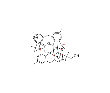 Cc1cc2c(c(C(C)(C)C)c1)C1OC(C(C)(C)CO)(OC3(c4c(cc(C)cc4C(C)(C)C)Cc4cc(C)cc(C(C)(C)C)c43)C13COC(C(C)(C)CO)OC3)c1c(cc(C)cc1C(C)(C)C)C2